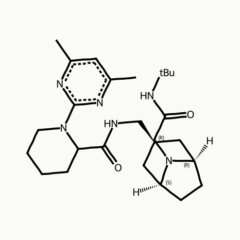 Cc1cc(C)nc(N2CCCCC2C(=O)NC[C@H]2C[C@H]3CC[C@@H](C2)N3CC(=O)NC(C)(C)C)n1